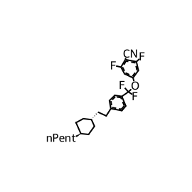 CCCCC[C@H]1CC[C@H](CCc2ccc(C(F)(F)Oc3cc(F)c(C#N)c(F)c3)cc2)CC1